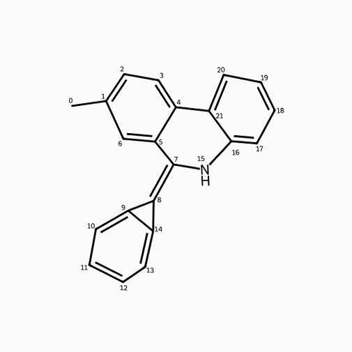 Cc1ccc2c(c1)C(=C1c3ccccc31)Nc1ccccc1-2